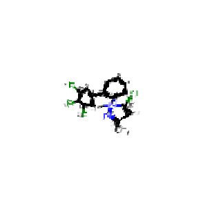 C[N+]1(c2ccccc2-c2cc(F)c(F)c(F)c2)N=C(C(F)(F)F)[C]=C1Cl